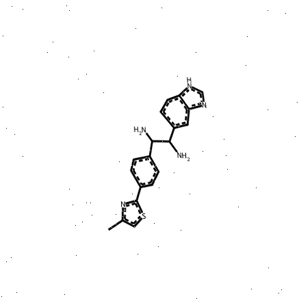 Cc1csc(-c2ccc(C(N)C(N)c3ccc4[nH]cnc4c3)cc2)n1